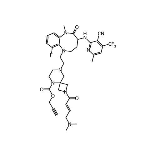 C#CCOC(=O)N1CCN(CCN2CCC(Nc3nc(C)cc(C(F)(F)F)c3C#N)C(=O)N(C)c3cccc(F)c32)CC12CN(C(=O)C=CCN(C)C)C2